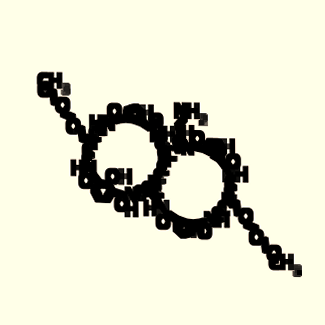 COCCOCCOCCN1CCNC(=O)c2cccc(c2O)C(=O)NCCN2CCNC(=O)c3cccc(c3O)C(=O)NCCN(CCOCCOCCOC)CCNC(=O)c3cccc(c3O)C(=O)NC(CCCCN)CN(CCNC(=O)c3cccc(c3O)C(=O)NCC1)CC2